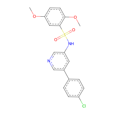 COc1ccc(OC)c(S(=O)(=O)Nc2cncc(-c3ccc(Cl)cc3)c2)c1